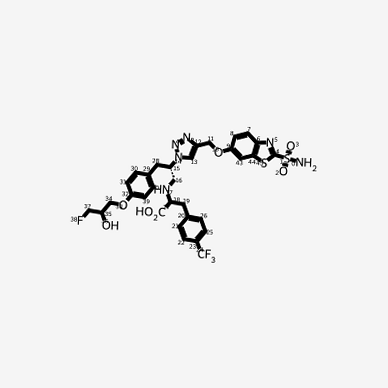 NS(=O)(=O)c1nc2ccc(OCc3cn([C@H](CNC(Cc4ccc(C(F)(F)F)cc4)C(=O)O)Cc4ccc(OCC(O)CF)cc4)nn3)cc2s1